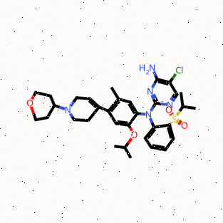 Cc1cc(N(c2ncc(Cl)c(N)n2)c2ccccc2S(=O)(=O)C(C)C)c(OC(C)C)cc1C1=CCN(C2CCOCC2)CC1